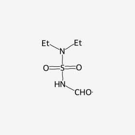 CCN(CC)S(=O)(=O)N[C]=O